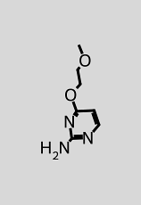 COCCOc1ccnc(N)n1